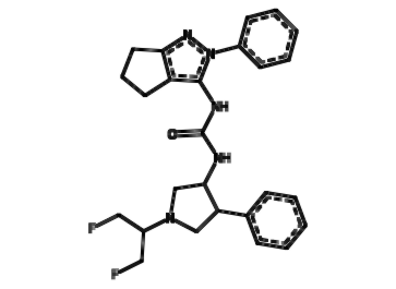 O=C(Nc1c2c(nn1-c1ccccc1)CCC2)NC1CN(C(CF)CF)CC1c1ccccc1